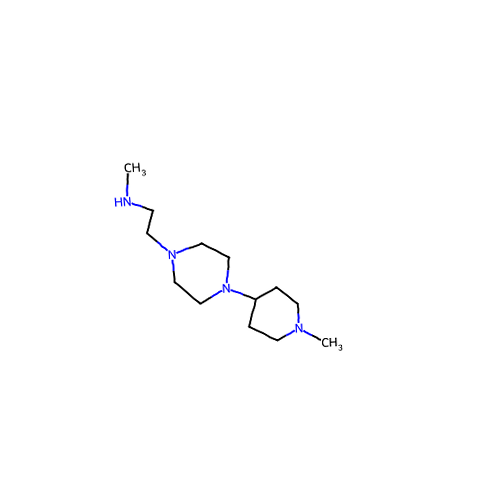 CNCCN1CCN(C2CCN(C)CC2)CC1